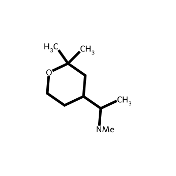 CNC(C)C1CCOC(C)(C)C1